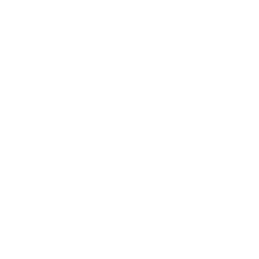 CCCc1cc(C)c(OCC)cc1C=O